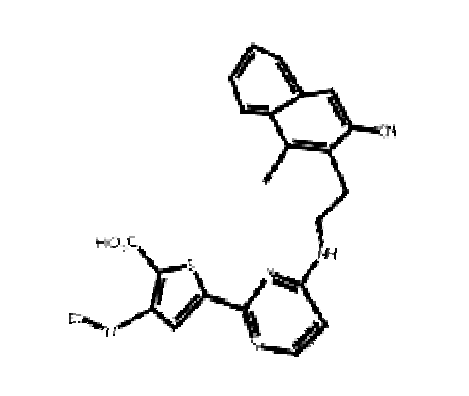 CCOc1cc(-c2nccc(NCCc3c(C#N)cc4ccccc4c3C)n2)sc1C(=O)O